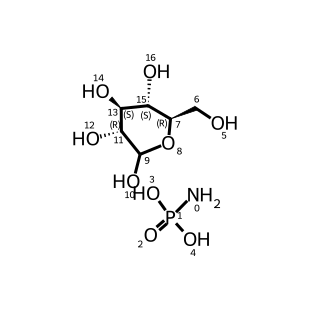 NP(=O)(O)O.OC[C@H]1OC(O)[C@H](O)[C@@H](O)[C@@H]1O